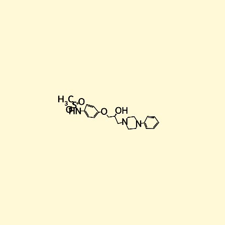 CS(=O)(=O)Nc1ccc(OC[C@@H](O)CN2CCN(c3ccccc3)CC2)cc1